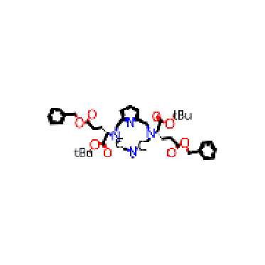 CN1CCN([C@@H](CCC(=O)OCc2ccccc2)C(=O)OC(C)(C)C)Cc2cccc(n2)CN([C@@H](CCC(=O)OCc2ccccc2)C(=O)OC(C)(C)C)CC1